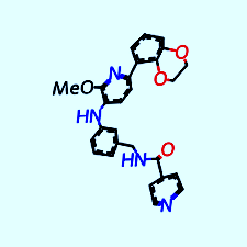 COc1nc(-c2cccc3c2OCCO3)ccc1Nc1cccc(CNC(=O)c2ccncc2)c1